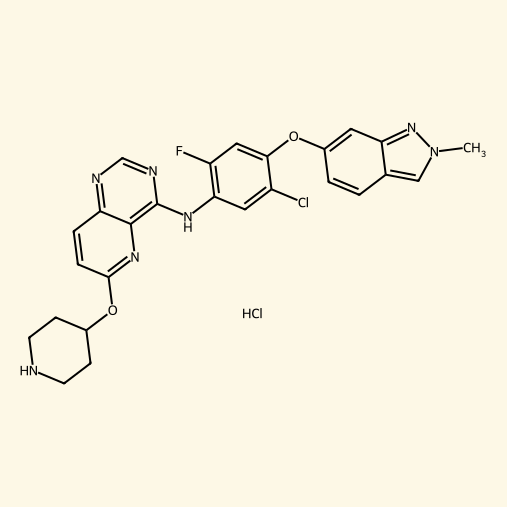 Cl.Cn1cc2ccc(Oc3cc(F)c(Nc4ncnc5ccc(OC6CCNCC6)nc45)cc3Cl)cc2n1